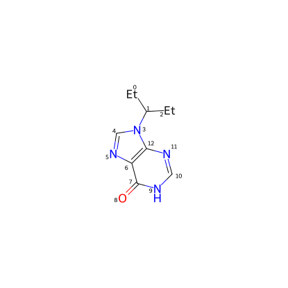 CCC(CC)n1cnc2c(=O)[nH]cnc21